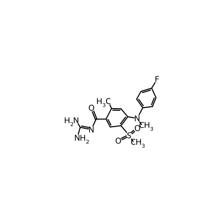 Cc1cc(N(C)c2ccc(F)cc2)c(S(C)(=O)=O)cc1C(=O)N=C(N)N